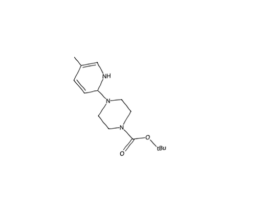 CC1=CNC(N2CCN(C(=O)OC(C)(C)C)CC2)C=C1